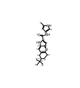 Cc1cc(NC(=O)c2cc3nc4c(cc3[nH]2)CC(C(C)(C)C)CC4)c[nH]1